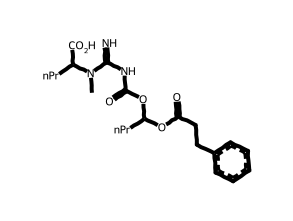 CCCC(OC(=O)CCc1ccccc1)OC(=O)NC(=N)N(C)C(CCC)C(=O)O